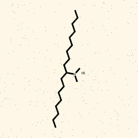 CCCCCCCCCC(CCCCCCCC)N(C)C.I